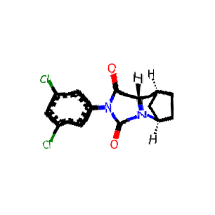 O=C1[C@@H]2[C@H]3CC[C@H](C3)N2C(=O)N1c1cc(Cl)cc(Cl)c1